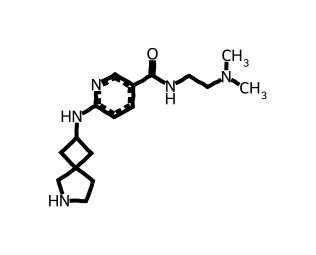 CN(C)CCNC(=O)c1ccc(NC2CC3(CCNC3)C2)nc1